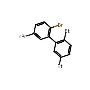 CCCc1ccc(Br)c(-c2cc(CC)[c]cc2CC)c1